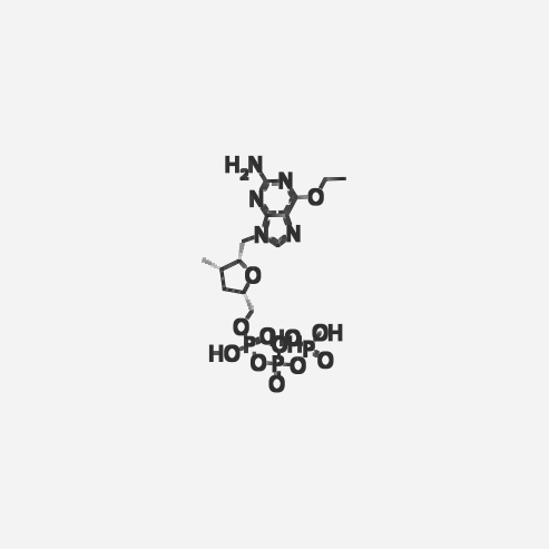 CCOc1nc(N)nc2c1ncn2C[C@@H]1O[C@H](COP(=O)(O)OP(=O)(O)OP(=O)(O)O)C[C@@H]1C